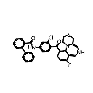 O=C(Nc1ccc(C(=O)C2CC=C(F)C3=CNC=C4CSCCN4C32)c(Cl)c1)c1ccccc1-c1ccccc1